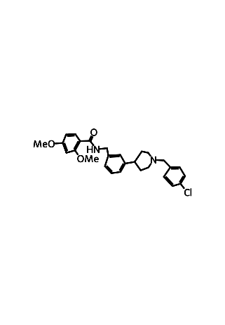 COc1ccc(C(=O)NCc2cccc(C3CCN(Cc4ccc(Cl)cc4)CC3)c2)c(OC)c1